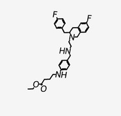 CCOC(=O)CCCNc1ccc(CNCCN2Cc3ccc(F)cc3CC2Cc2ccc(F)cc2)cc1